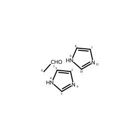 CC=O.c1c[nH]cn1.c1c[nH]cn1